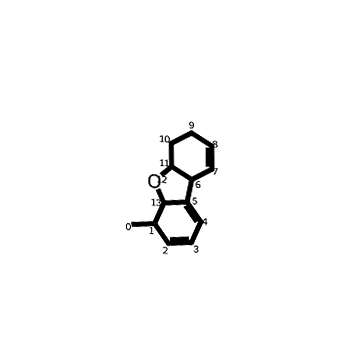 CC1C=CC=C2C3C=CCCC3OC21